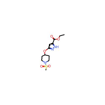 CCOC(=O)c1cc(OC2CCN(S(C)(=O)=O)CC2)n[nH]1